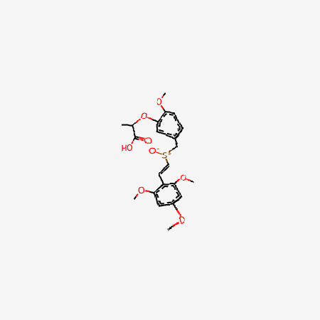 COc1cc(OC)c(C=C[S+]([O-])Cc2ccc(OC)c(OC(C)C(=O)O)c2)c(OC)c1